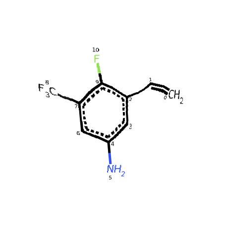 C=Cc1cc(N)cc(C(F)(F)F)c1F